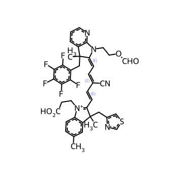 Cc1ccc2c(c1)C(C)(Cc1cscn1)C(/C=C/C(C#N)=C/C=C1/N(CCOC=O)c3ncccc3C1(C)Cc1c(F)c(F)c(F)c(F)c1F)=[N+]2CCC(=O)O